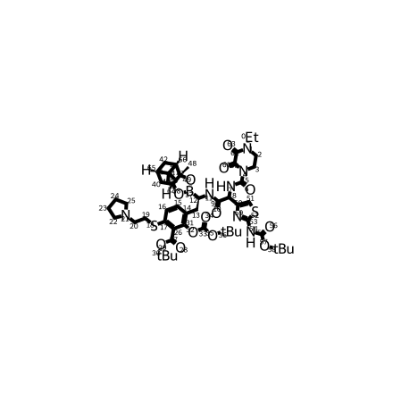 CCN1CCN(C(=O)NC(C(=O)N[C@@H](Cc2ccc(SCCN3CCCC3)c(C(=O)OC(C)(C)C)c2OC(=O)OC(C)(C)C)B2O[C@@H]3C[C@@H]4C[C@@H](C4(C)C)[C@]3(C)O2)c2csc(NC(=O)OC(C)(C)C)n2)C(=O)C1=O